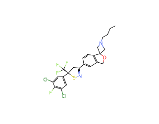 CCCCN1CC2(C1)OCc1cc(C3=NS[C@@](c4cc(Cl)c(F)c(Cl)c4)(C(F)(F)F)C3)ccc12